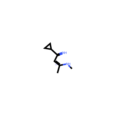 CN/C(C)=C\C(=N)C1CC1